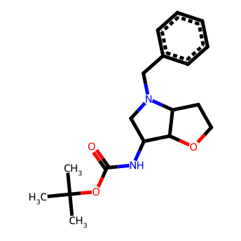 CC(C)(C)OC(=O)NC1CN(Cc2ccccc2)C2CCOC12